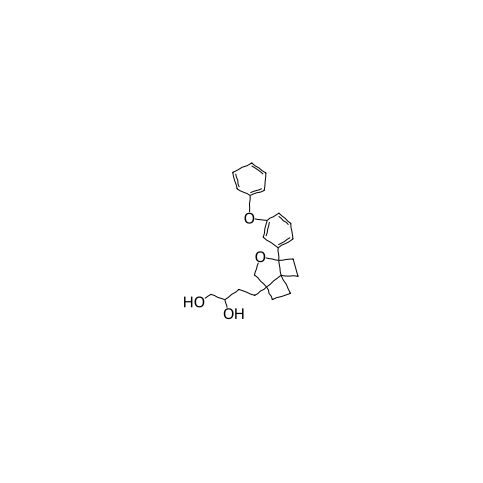 OCC(O)CCC12CCC13CCC3(c1cccc(Oc3ccccc3)c1)OC2